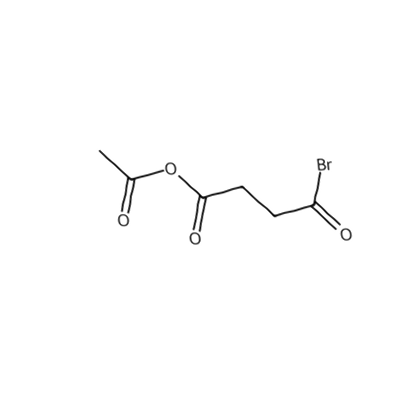 CC(=O)OC(=O)CCC(=O)Br